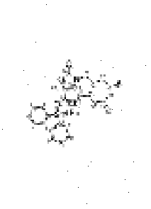 CC[C@@H](O[Si](c1ccccc1)(c1ccccc1)C(C)(C)C)[C@@]1(C)OC(=O)N(CCCCBr)[C@@H]1C(=O)CC=C(C)C